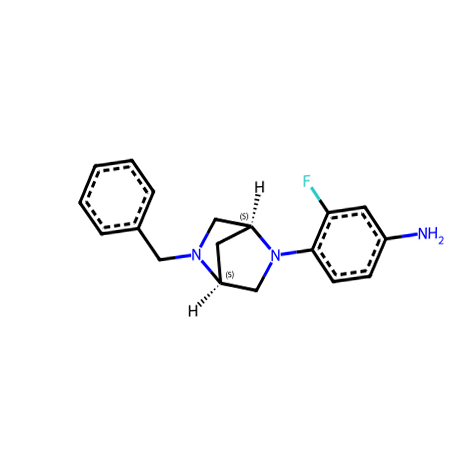 Nc1ccc(N2C[C@@H]3C[C@H]2CN3Cc2ccccc2)c(F)c1